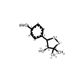 COc1ccc(C2SSC(C)(C)[C@H]2O)cc1